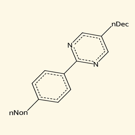 CCCCCCCCCCc1cnc(-c2ccc(CCCCCCCCC)cc2)nc1